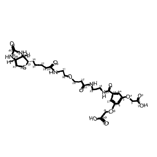 O=C(O)COc1cc(OCC(=O)O)cc(C(=O)NCCNC(=O)CCOCCNC(=O)CCCC[C@@H]2SC[C@@H]3NC(=O)N[C@@H]32)c1